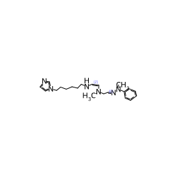 CN(/C=C\NCCCCCCn1ccnc1)C/C=N/N(C)c1ccccc1